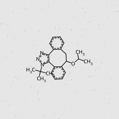 CC(C)OC1Cc2ccccc2-c2nnn(C(C)(C)C)c2-c2ccccc21